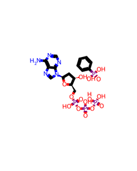 Nc1ncnc2c1ncn2[C@H]1C[C@H](O)[C@@H](COP(=O)(O)OP(=O)(O)OP(=O)(O)O)O1.O=P(O)(O)c1ccccc1